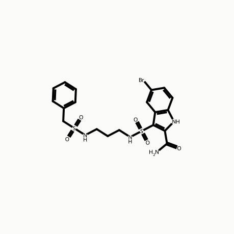 NC(=O)c1[nH]c2ccc(Br)cc2c1S(=O)(=O)NCCCNS(=O)(=O)Cc1ccccc1